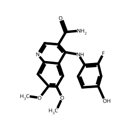 COc1cc2ncc(C(N)=O)c(Nc3ccc(O)cc3F)c2cc1OC